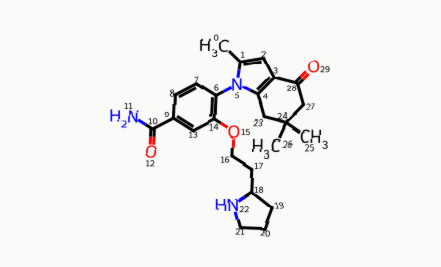 Cc1cc2c(n1-c1ccc(C(N)=O)cc1OCCC1CCCN1)CC(C)(C)CC2=O